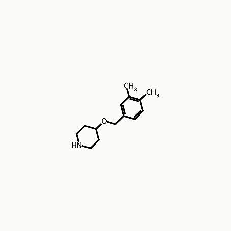 Cc1ccc(COC2CCNCC2)cc1C